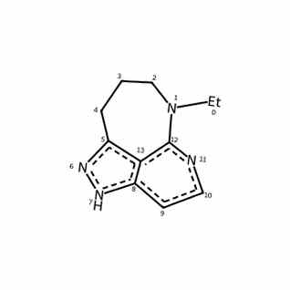 CCN1CCCc2n[nH]c3ccnc1c23